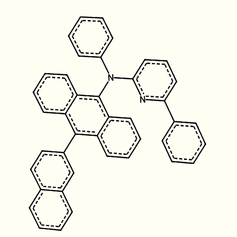 c1ccc(-c2cccc(N(c3ccccc3)c3c4ccccc4c(-c4ccc5ccccc5c4)c4ccccc34)n2)cc1